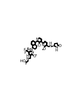 COc1nc(-c2ccnc(-c3cccc4c3CCC[C@@H]4Nc3nc(OC)c(CNC[C@@H](C)O)cc3C(F)(F)F)c2Cl)ccc1CNC[C@@H]1CCC(=O)N1